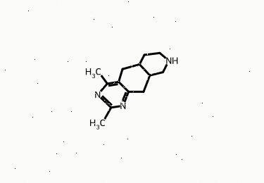 Cc1nc(C)c2c(n1)CC1CNCCC1C2